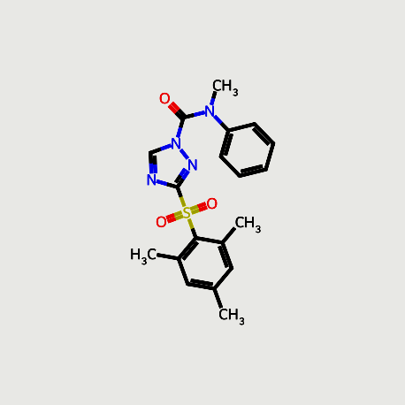 Cc1cc(C)c(S(=O)(=O)c2ncn(C(=O)N(C)c3ccccc3)n2)c(C)c1